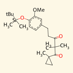 COc1cc(CCC(=O)C(C)(C)C(=O)C2(C)CC2)ccc1O[Si](C)(C)C(C)(C)C